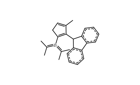 CC1=CC[C]([Zr](=[C](C)C)=[C](C)C)=C1C1c2ccccc2-c2ccccc21